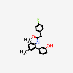 Cc1cc(C)c(NC(=O)Cc2ccc(F)cc2)c(-c2cccc(O)c2)c1